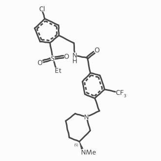 CCS(=O)(=O)c1ccc(Cl)cc1CNC(=O)c1ccc(CN2CCC[C@H](NC)C2)c(C(F)(F)F)c1